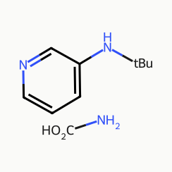 CC(C)(C)Nc1cccnc1.NC(=O)O